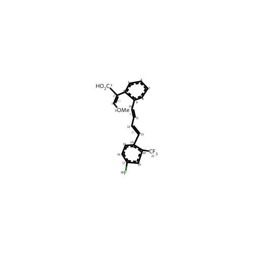 CO/C=C(/C(=O)O)c1ccccc1/C=C/C=C/c1ccc(F)cc1C(F)(F)F